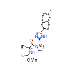 COC(=O)N[C@H](C(=O)N1CCC[C@H]1c1ncc(-c2ccc3cc(C)ccc3c2)[nH]1)C(C)C